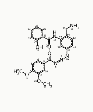 COc1ccc(C(=O)N=[N+]=Nc2ccc(CN)c(NC(=O)c3ccccc3O)c2)cc1OC